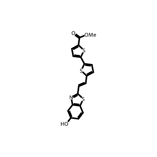 COC(=O)c1ccc(-c2ccc(/C=C/c3nc4cc(O)ccc4s3)s2)s1